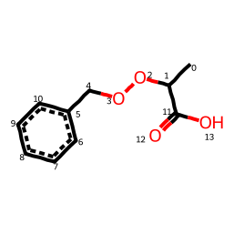 CC(OOCc1ccccc1)C(=O)O